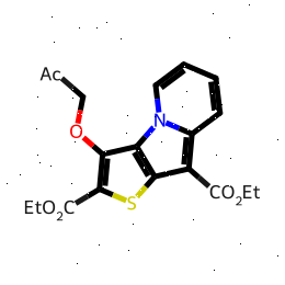 CCOC(=O)c1sc2c(C(=O)OCC)c3ccccn3c2c1OCC(C)=O